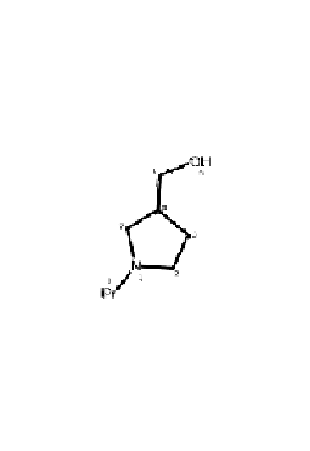 CC(C)N1CCC(CO)C1